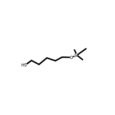 C[Si](C)(C)OCCCCCS